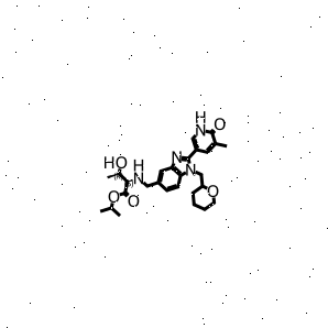 Cc1cc(-c2nc3cc(CN[C@H](C(=O)OC(C)C)[C@@H](C)O)ccc3n2CC2CCCCO2)c[nH]c1=O